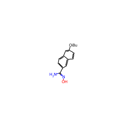 CC(C)COc1ccc2cc(C(N)=NO)ccc2c1